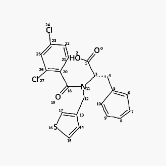 O=C(O)[C@H](Cc1ccccc1)N(Cc1ccsc1)C(=O)c1ccc(Cl)cc1Cl